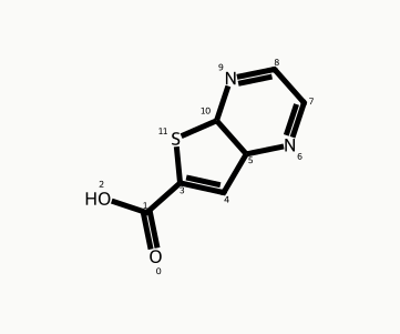 O=C(O)C1=CC2N=CC=NC2S1